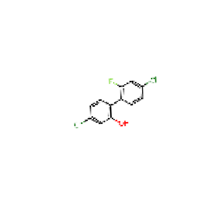 Oc1cc(Cl)ccc1-c1ccc(Cl)cc1F